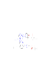 CO[C@H]1CN(c2nccc(Nc3cc4c(C(C)C)ccc(N5CC(CS(C)(=O)=O)C5)c4cn3)n2)C[C@@H](F)[C@H]1O